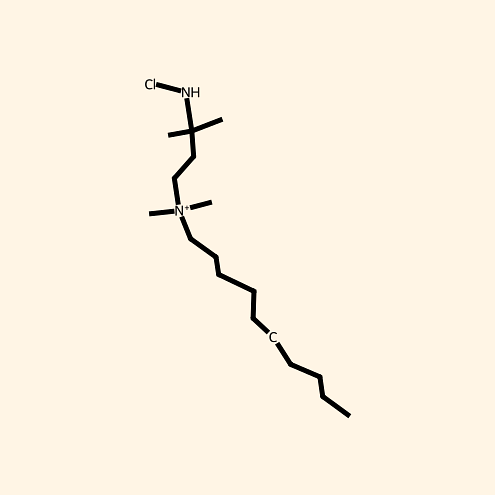 CCCCCCCCCC[N+](C)(C)CCC(C)(C)NCl